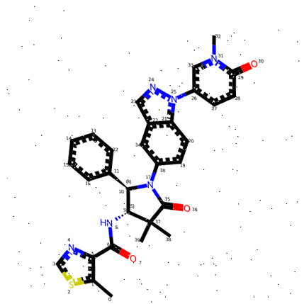 Cc1scnc1C(=O)N[C@@H]1[C@@H](c2ccccc2)N(c2ccc3c(cnn3-c3ccc(=O)n(C)c3)c2)C(=O)C1(C)C